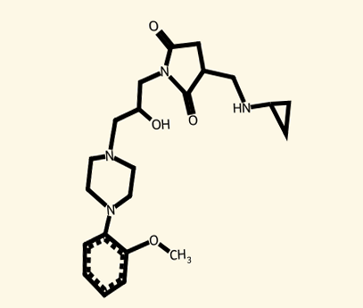 COc1ccccc1N1CCN(CC(O)CN2C(=O)CC(CNC3CC3)C2=O)CC1